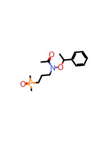 CC(=O)N(CCCP(C)(C)=O)OC(C)c1ccccc1